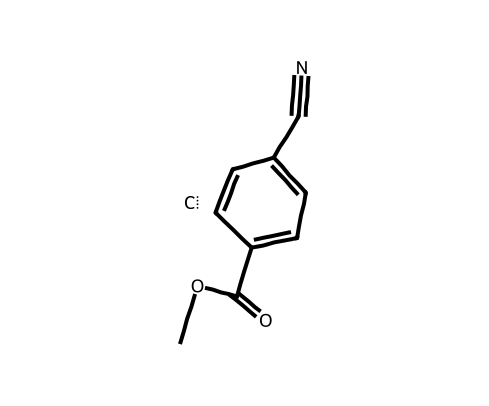 COC(=O)c1ccc(C#N)cc1.[C]